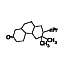 CCCC1CC2CCC3CC(=O)CCC3C2CC1(C)C